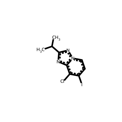 CC(C)c1nc2c(Cl)c(I)ccn2n1